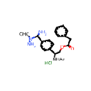 CC(=O)NC(COC(=O)Cc1ccccc1)c1ccc(C(N)N(N)C=O)cc1.Cl